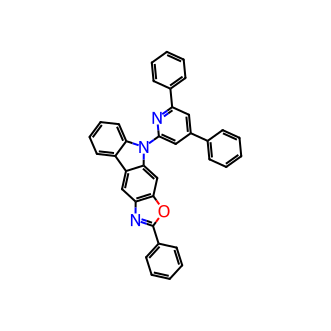 c1ccc(-c2cc(-c3ccccc3)nc(-n3c4ccccc4c4cc5nc(-c6ccccc6)oc5cc43)c2)cc1